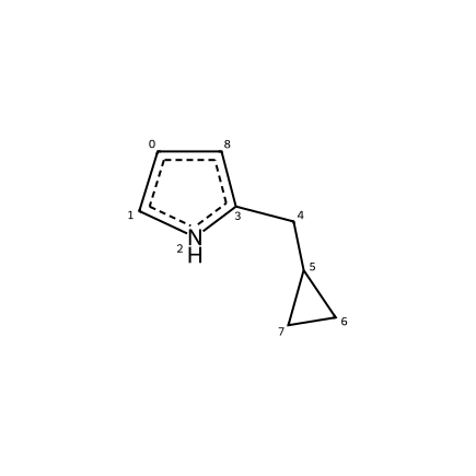 c1c[nH]c(CC2CC2)c1